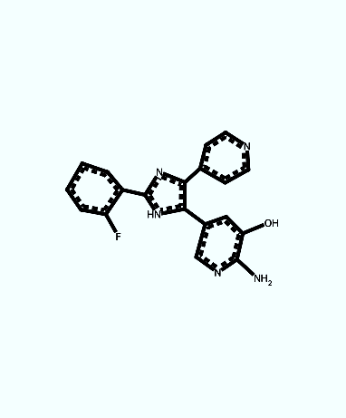 Nc1ncc(-c2[nH]c(-c3ccccc3F)nc2-c2ccncc2)cc1O